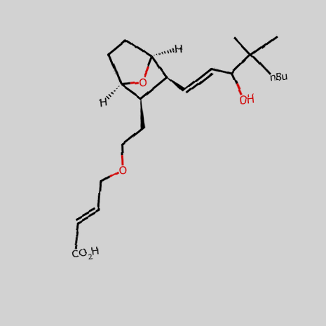 CCCCC(C)(C)C(O)/C=C/[C@H]1[C@@H](CCOCC=CC(=O)O)[C@H]2CC[C@@H]1O2